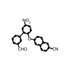 N#Cc1ccc2cc(Oc3ccc([N+](=O)[O-])cc3-c3cccc(C=O)c3)ccc2c1